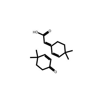 CC1(C)C=CC(=CC(=O)O)CC1.CC1(C)C=CC(=O)CC1